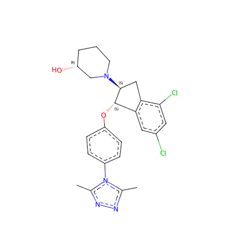 Cc1nnc(C)n1-c1ccc(O[C@H]2c3cc(Cl)cc(Cl)c3C[C@@H]2N2CCC[C@@H](O)C2)cc1